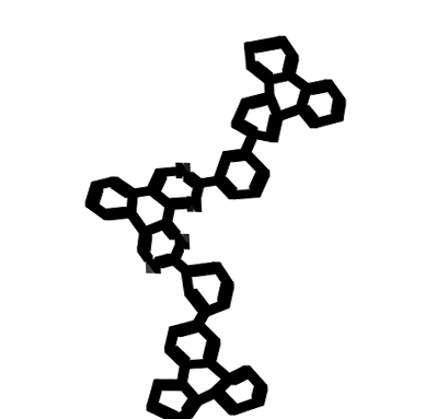 c1cc(-c2ccc3c4ccccc4c4ccccc4c3c2)cc(-c2ncc3c4ccccc4c4cnc(-c5cccc(-c6ccc7c8ccccc8c8ccccc8c7c6)c5)nc4c3n2)c1